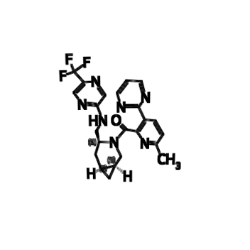 Cc1ccc(-c2ncccn2)c(C(=O)N2C[C@H]3C[C@H]3C[C@H]2CNc2cnc(C(F)(F)F)cn2)n1